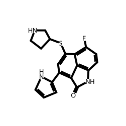 O=C1Nc2ccc(F)c3c(SC4CCNC4)cc(-c4ccc[nH]4)c1c23